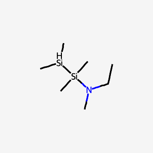 CCN(C)[Si](C)(C)[SiH](C)C